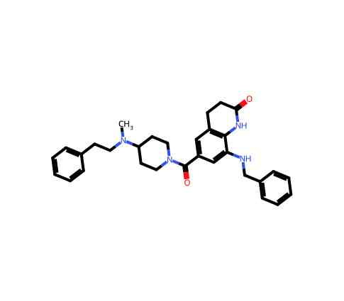 CN(CCc1ccccc1)C1CCN(C(=O)c2cc3c(c(NCc4ccccc4)c2)NC(=O)CC3)CC1